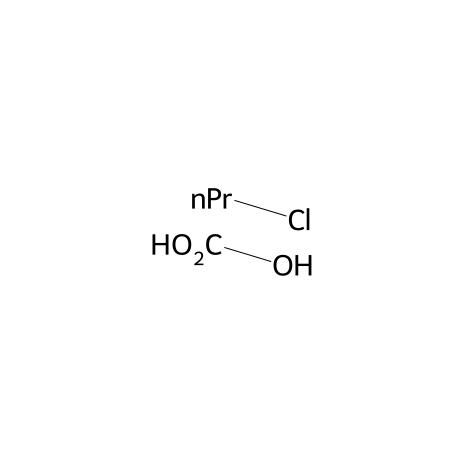 CCCCl.O=C(O)O